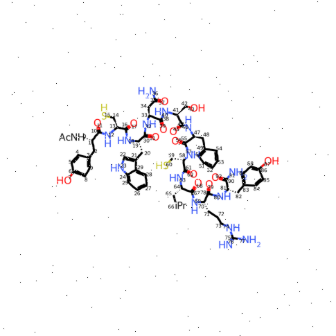 CC(=O)N[C@@H](Cc1ccc(O)cc1)C(=O)N[C@@H](CS)C(=O)N[C@@H](Cc1c[nH]c2ccccc12)C(=O)N[C@@H](CC(N)=O)C(=O)N[C@@H](CO)C(=O)N[C@@H](Cc1ccccc1)C(=O)N[C@@H](CS)C(=O)N[C@@H](CC(C)C)C(=O)N[C@@H](CCCNC(=N)N)C(=O)N[C@@H](Cc1ccc(O)cc1)C(N)=O